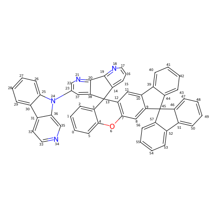 c1ccc2c(c1)Oc1cc3c(cc1C21c2cccnc2-c2ncc(-n4c5ccccc5c5ccncc54)cc21)-c1ccccc1C31c2ccccc2-c2ccccc21